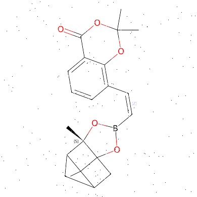 CC1(C)OC(=O)c2cccc(/C=C\B3OC45CC6CC(C64C)[C@]5(C)O3)c2O1